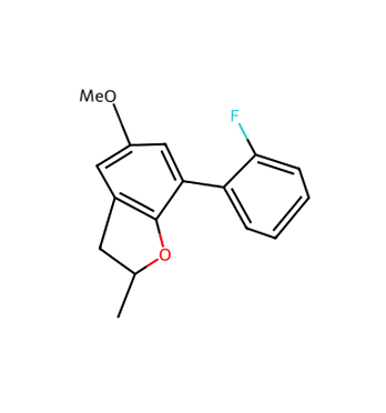 COc1cc2c(c(-c3ccccc3F)c1)OC(C)C2